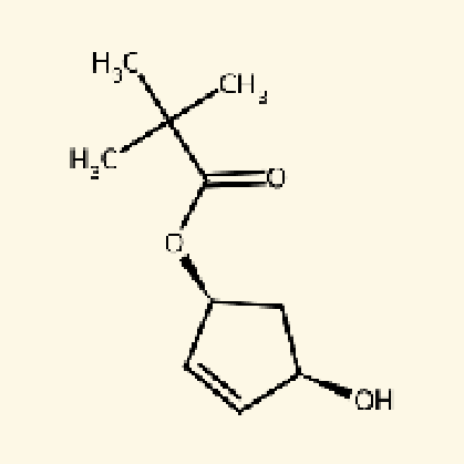 CC(C)(C)C(=O)O[C@@H]1C=C[C@H](O)C1